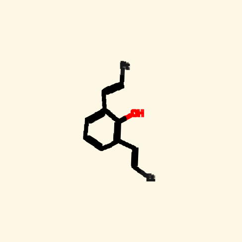 CCC=Cc1cccc(C=CCC)c1O